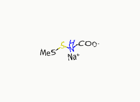 CSSNC(=O)[O-].[Na+]